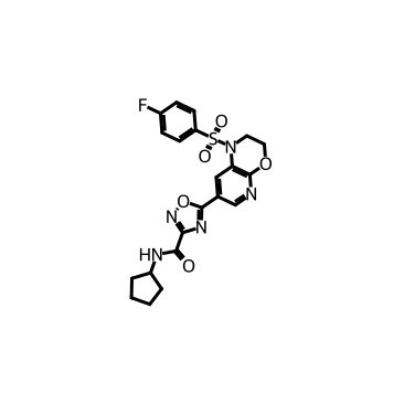 O=C(NC1CCCC1)c1noc(-c2cnc3c(c2)N(S(=O)(=O)c2ccc(F)cc2)CCO3)n1